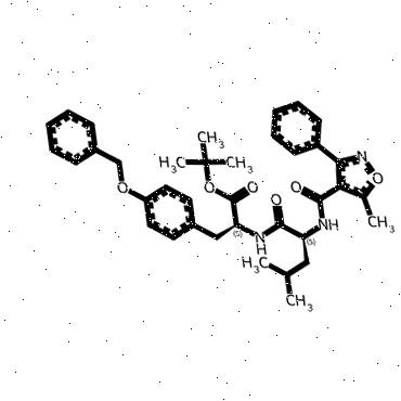 Cc1onc(-c2ccccc2)c1C(=O)N[C@@H](CC(C)C)C(=O)N[C@@H](Cc1ccc(OCc2ccccc2)cc1)C(=O)OC(C)(C)C